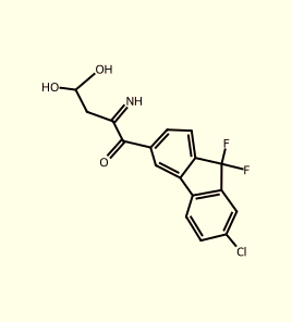 N=C(CC(O)O)C(=O)c1ccc2c(c1)-c1ccc(Cl)cc1C2(F)F